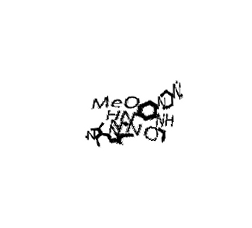 C=CC(=O)Nc1cc(Nc2ncc3ccc(-c4c(C)cn(C)c4C)n3n2)c(OC)cc1N1CCC(N(C)C)CC1